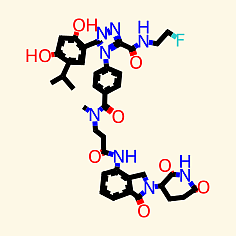 CC(C)c1cc(-c2nnc(C(=O)NCCF)n2-c2ccc(C(=O)N(C)CCC(=O)Nc3cccc4c3CN(C3CCC(=O)NC3=O)C4=O)cc2)c(O)cc1O